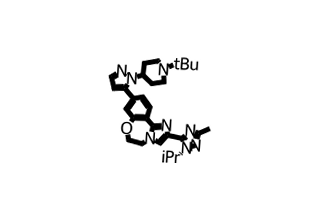 Cc1nc(-c2cn3c(n2)-c2ccc(-c4ccnn4C4CCN(C(C)(C)C)CC4)cc2OCC3)n(C(C)C)n1